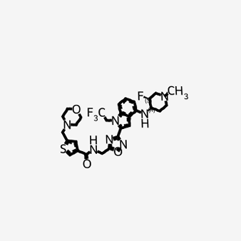 CN1CC[C@@H](Nc2cccc3c2cc(-c2noc(CNC(=O)c4csc(CN5CCOCC5)c4)n2)n3CC(F)(F)F)[C@@H](F)C1